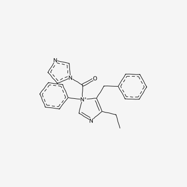 CCC1=C(Cc2ccccc2)[N+](C(=O)n2ccnc2)(c2ccccc2)C=N1